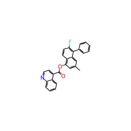 Cc1cc(OC(=O)c2ccnc3ccccc23)c2ccc(F)c(-c3ccccc3)c2c1